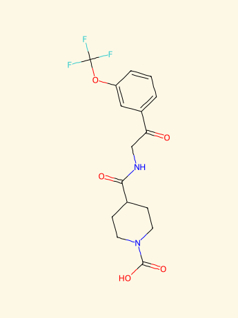 O=C(CNC(=O)C1CCN(C(=O)O)CC1)c1cccc(OC(F)(F)F)c1